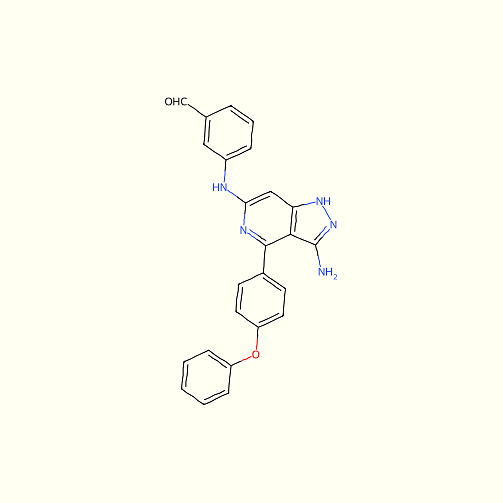 Nc1n[nH]c2cc(Nc3cccc(C=O)c3)nc(-c3ccc(Oc4ccccc4)cc3)c12